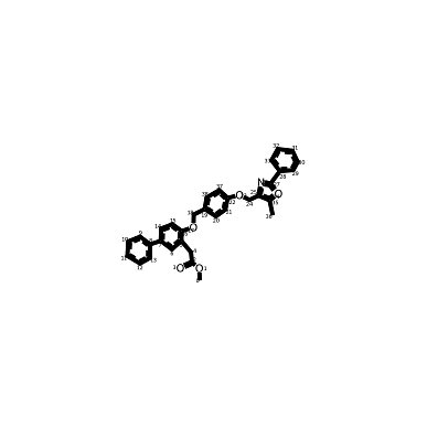 COC(=O)Cc1cc(-c2ccccc2)ccc1OCc1ccc(OCc2nc(-c3ccccc3)oc2C)cc1